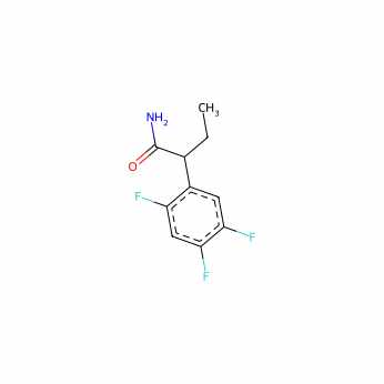 CCC(C(N)=O)c1cc(F)c(F)cc1F